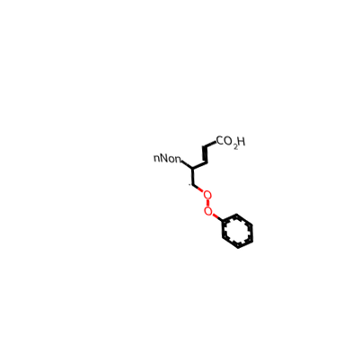 CCCCCCCCCC([CH]OOc1ccccc1)C=CC(=O)O